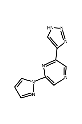 c1cnn(-c2cncc(-c3c[nH]nn3)n2)c1